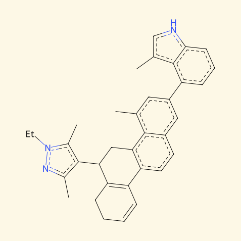 CCn1nc(C)c(C2Cc3c(ccc4cc(-c5cccc6[nH]cc(C)c56)cc(C)c34)C3=C2CCC=C3)c1C